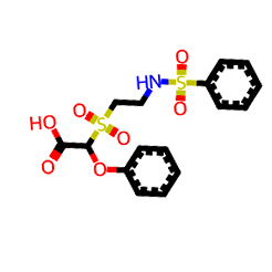 O=C(O)C(Oc1ccccc1)S(=O)(=O)CCNS(=O)(=O)c1ccccc1